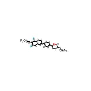 COCC1CCC(c2ccc(-c3ccc4c(F)c(C#CC(F)(F)F)c(F)cc4c3)cc2)OC1